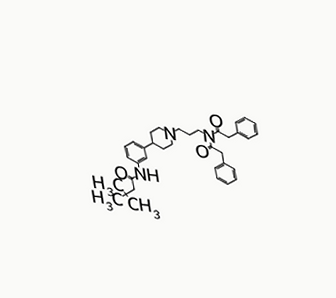 CC(C)(C)CC(=O)Nc1cccc(C2CCN(CCCN(C(=O)Cc3ccccc3)C(=O)Cc3ccccc3)CC2)c1